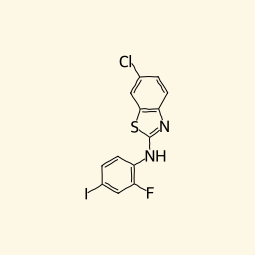 Fc1cc(I)ccc1Nc1nc2ccc(Cl)cc2s1